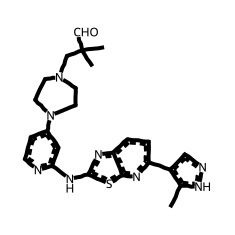 Cc1[nH]ncc1-c1ccc2nc(Nc3cc(N4CCN(CC(C)(C)C=O)CC4)ccn3)sc2n1